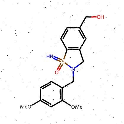 COc1ccc(CN2Cc3cc(CO)ccc3S2(=N)=O)c(OC)c1